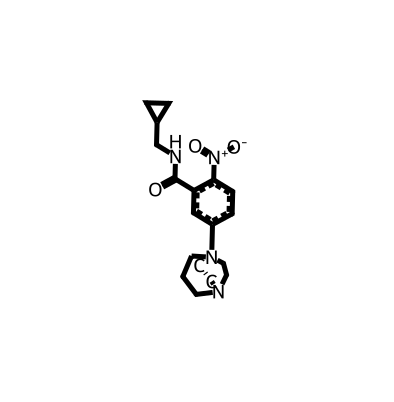 O=C(NCC1CC1)c1cc(N2CCN3CCC2CC3)ccc1[N+](=O)[O-]